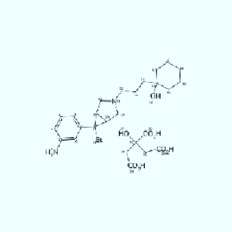 CCC1(c2cccc(N)c2)C2CN(CCCC3(O)CCCCC3)CC21.O=C(O)CC(O)(CC(=O)O)C(=O)O